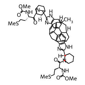 COC(=O)N[C@@H](CCSC)C(=O)N1C2CCC(CC2)[C@H]1c1nc2cc(C3=CC4=CC[C@@H]3C[C@@H](C)c3ccc(c(-c5ccc6[nH]c([C@@H]7C8CCC(CC8)N7C(=O)[C@H](CCSC)NC(=O)OC)nc6c5)c3)CC4)ccc2[nH]1